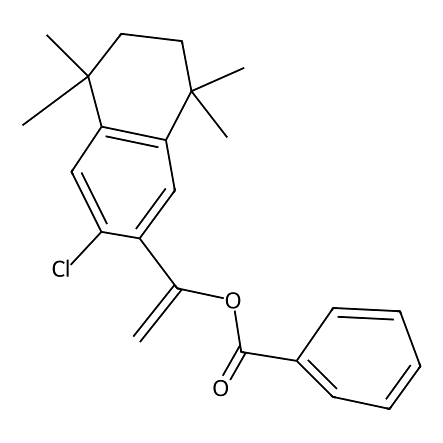 C=C(OC(=O)c1ccccc1)c1cc2c(cc1Cl)C(C)(C)CCC2(C)C